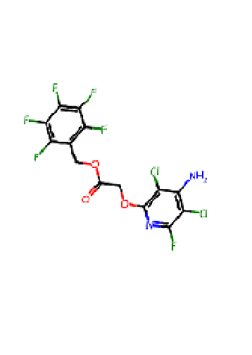 Nc1c(Cl)c(F)nc(OCC(=O)OCc2c(F)c(F)c(F)c(F)c2F)c1Cl